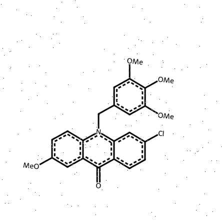 COc1ccc2c(c1)c(=O)c1ccc(Cl)cc1n2Cc1cc(OC)c(OC)c(OC)c1